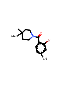 COC1(C)CCN(C(=O)c2ccc(C#N)cc2Br)CC1